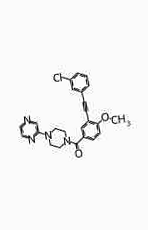 COc1ccc(C(=O)N2CCN(c3cnccn3)CC2)cc1C#Cc1cccc(Cl)c1